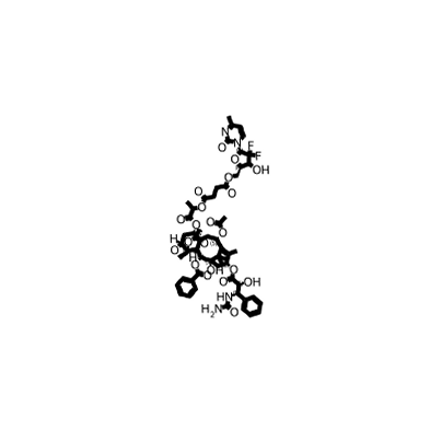 CC(=O)O[C@H]1C[C@]2(C)[C@@H](OC(=O)C(C)OC(=O)CCC(=O)OC[C@H]3O[C@@H](n4ccc(C)nc4=O)C(F)(F)C3O)C[C@H]3OC[C@@]3(OC(C)=O)[C@H]2[C@H](OC(=O)c2ccccc2)[C@]2(O)C[C@H](OC(=O)[C@@H](O)[C@H](NC(N)=O)c3ccccc3)C(C)=C1C2(C)C